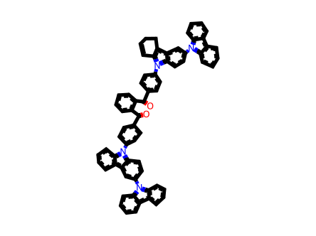 O=C(c1ccc(-n2c3c(c4cc(-n5c6ccccc6c6ccccc65)ccc42)CCC=C3)cc1)c1ccccc1C(=O)c1ccc(-n2c3ccccc3c3cc(-n4c5ccccc5c5ccccc54)ccc32)cc1